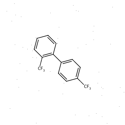 FC(F)(F)c1ccc(-c2[c]cccc2C(F)(F)F)cc1